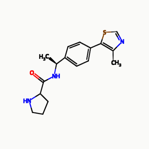 Cc1ncsc1-c1ccc([C@H](C)NC(=O)C2CCCN2)cc1